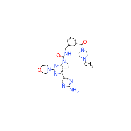 CN1CCN(C(=O)c2cccc(CNC(=O)N3CCc4c(-c5cnc(N)nc5)nc(N5CCOCC5)nc43)c2)CC1